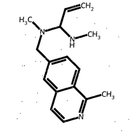 C=CC(NC)N(C)Cc1ccc2c(C)nccc2c1